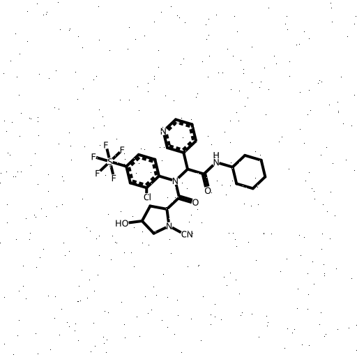 N#CN1CC(O)CC1C(=O)N(c1ccc(S(F)(F)(F)(F)F)cc1Cl)C(C(=O)NC1CCCCC1)c1cccnc1